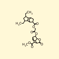 CCC1CC(CC)C2C3CC(CC3C(=O)OCC(=O)OC3C4CC5C3OC(=O)C5C4C(=O)OC)C12